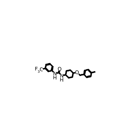 Cc1ccc(COC2CCC(NC(=O)Nc3cccc(C(F)(F)F)c3)CC2)cc1